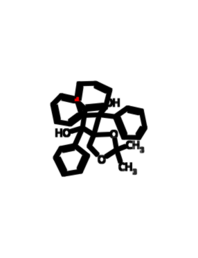 CC1(C)OCC(C(O)(c2ccccc2)c2ccccc2)(C(O)(c2ccccc2)c2ccccc2)O1